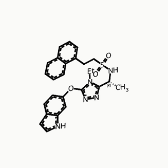 CCn1c(Oc2ccc3cc[nH]c3c2)nnc1[C@@H](C)NS(=O)(=O)CCc1cccc2ccccc12